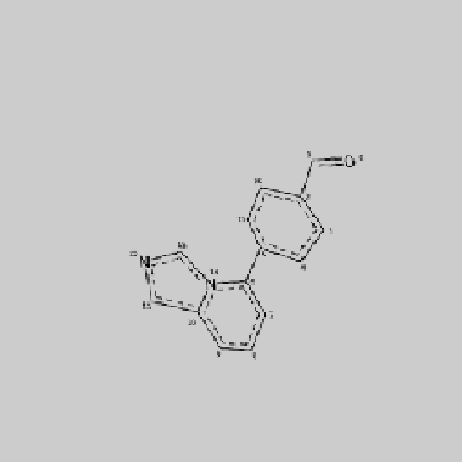 O=Cc1ccc(-c2cccc3cncn23)cc1